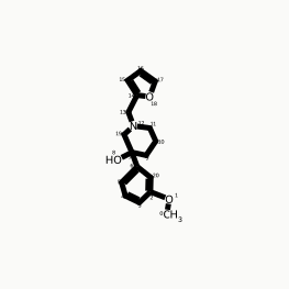 COc1cccc(C2(O)CCCN(Cc3ccco3)C2)c1